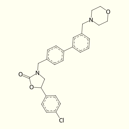 O=C1OC(c2ccc(Cl)cc2)CN1Cc1ccc(-c2cccc(CN3CCOCC3)c2)cc1